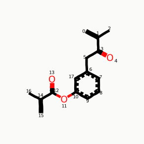 C=C(C)C(=O)Cc1cccc(OC(=O)C(=C)C)c1